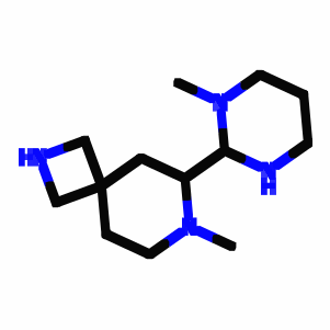 CN1CCC2(CNC2)CC1C1NCCCN1C